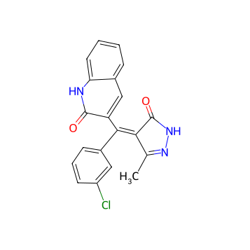 CC1=NNC(=O)C1=C(c1cccc(Cl)c1)c1cc2ccccc2[nH]c1=O